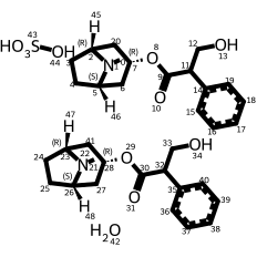 CN1[C@@H]2CC[C@H]1C[C@@H](OC(=O)C(CO)c1ccccc1)C2.CN1[C@@H]2CC[C@H]1C[C@@H](OC(=O)C(CO)c1ccccc1)C2.O.O=S(=O)(O)O